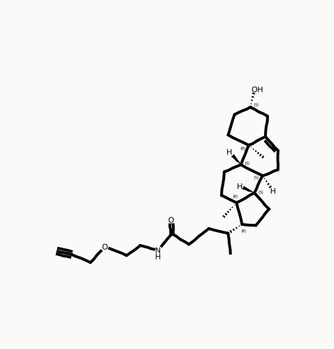 C#CCOCCNC(=O)CCC(C)[C@H]1CC[C@H]2[C@@H]3CC=C4C[C@@H](O)CC[C@]4(C)[C@H]3CC[C@]12C